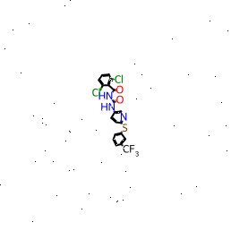 O=C(NC(=O)c1c(Cl)cccc1Cl)Nc1ccc(Sc2cccc(C(F)(F)F)c2)nc1